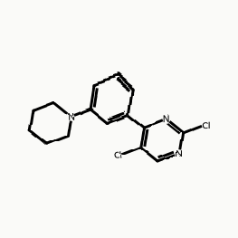 Clc1ncc(Cl)c(-c2cccc(N3CCCCC3)c2)n1